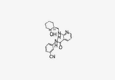 N#Cc1cccc(NC(=O)c2cccnc2NC[C@@H]2CCCC[C@H]2O)c1